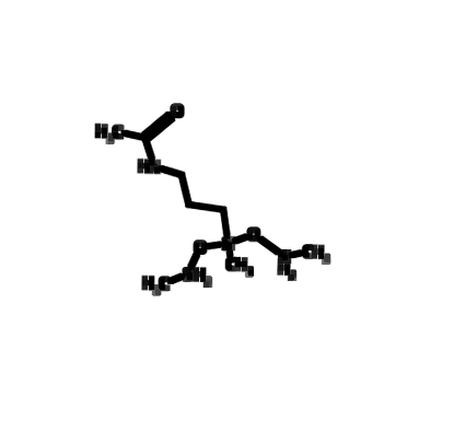 C[SiH2]O[Si](C)(CCCNC(C)=O)O[SiH2]C